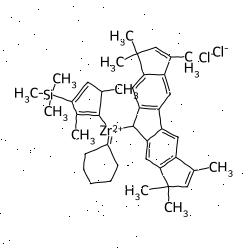 CC1=CC(C)(C)c2cc3c(cc21)-c1cc2c(cc1[CH]3[Zr+2]([C]1=C(C)C([Si](C)(C)C)=CC1C)=[C]1CCCCC1)C(C)(C)C=C2C.[Cl-].[Cl-]